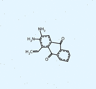 C=Cc1c(N)c(N)cc2c1C(=O)c1ccccc1C2=O